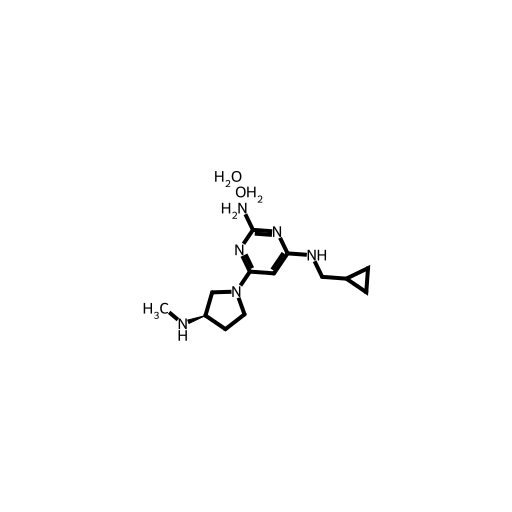 CN[C@@H]1CCN(c2cc(NCC3CC3)nc(N)n2)C1.O.O